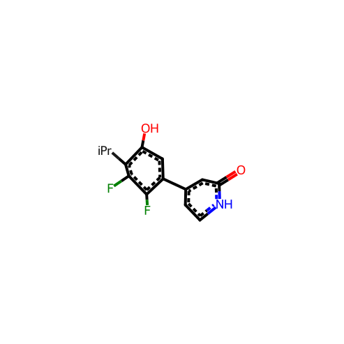 CC(C)c1c(O)cc(-c2cc[nH]c(=O)c2)c(F)c1F